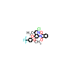 COc1cc(N2C(=O)c3ccccc3C2=O)c2nc(Cl)cc(C)c2c1Oc1cccc(C(F)(F)F)c1